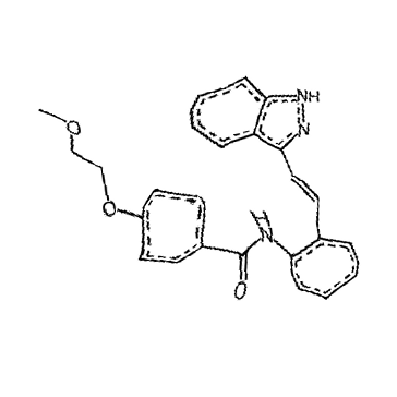 COCCOc1ccc(C(=O)Nc2ccccc2C=Cc2n[nH]c3ccccc23)cc1